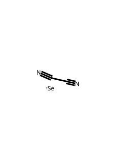 N#CC#N.[Se]